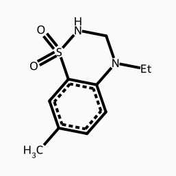 CCN1CNS(=O)(=O)c2cc(C)ccc21